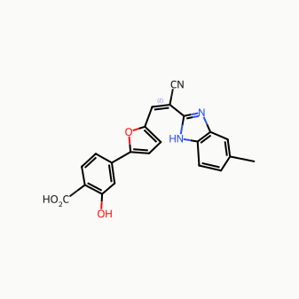 Cc1ccc2[nH]c(/C(C#N)=C\c3ccc(-c4ccc(C(=O)O)c(O)c4)o3)nc2c1